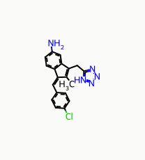 CC1=C(Cc2nnn[nH]2)c2cc(N)ccc2C1=Cc1ccc(Cl)cc1